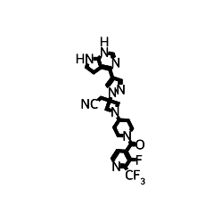 N#CCC1(n2cc(C3=C4CCNC4NC=N3)cn2)CN(C2CCN(C(=O)c3ccnc(C(F)(F)F)c3F)CC2)C1